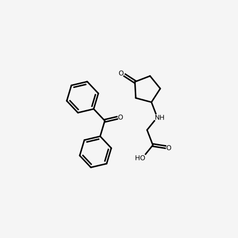 O=C(O)CNC1CCC(=O)C1.O=C(c1ccccc1)c1ccccc1